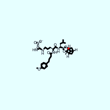 COc1ccc(CCCC(=O)N[C@@H](CCCNC2NN2[N+](=O)[O-])C(=O)N[C@@H](CC(C)C)B2O[C@@H]3C[C@@H]4C[C@@H](C4(C)C)[C@]3(C)O2)cc1